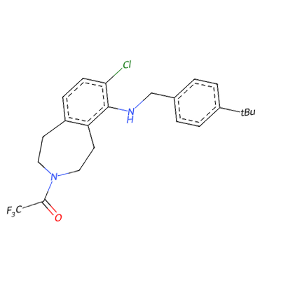 CC(C)(C)c1ccc(CNc2c(Cl)ccc3c2CCN(C(=O)C(F)(F)F)CC3)cc1